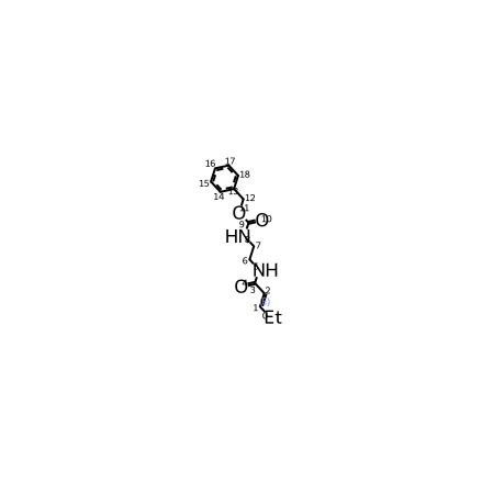 CC/C=C/C(=O)NCCNC(=O)OCc1ccccc1